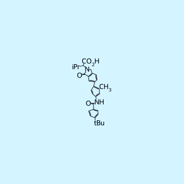 Cc1cc(NC(=O)c2ccc(C(C)(C)C)cc2)ccc1-c1ccc2c(c1)C(=O)N(C(C(=O)O)C(C)C)C2